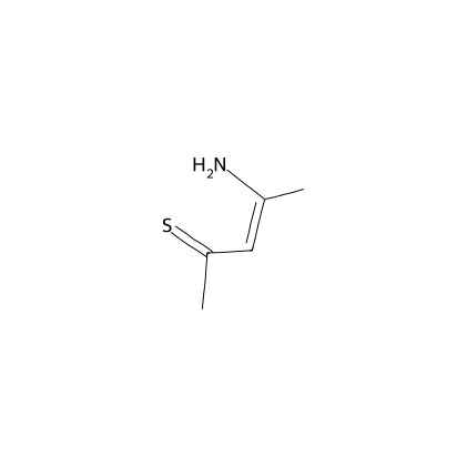 CC(=S)C=C(C)N